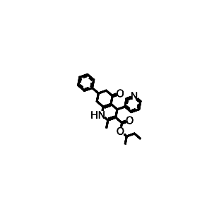 CCC(C)OC(=O)C1=C(C)NC2=C(C(=O)CC(c3ccccc3)C2)C1c1cccnc1